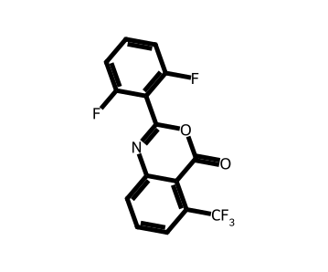 O=c1oc(-c2c(F)cccc2F)nc2cccc(C(F)(F)F)c12